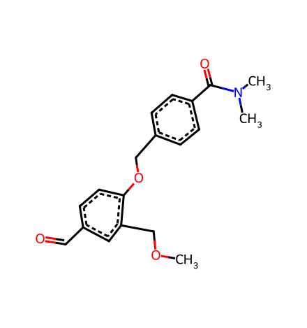 COCc1cc(C=O)ccc1OCc1ccc(C(=O)N(C)C)cc1